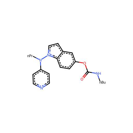 CCCCNC(=O)Oc1ccc2c(ccn2N(CCC)c2ccncc2)c1